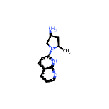 CC1CC(N)CN1c1ccc2cccnc2n1